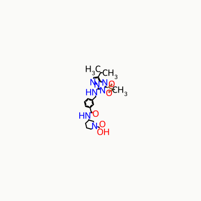 CC(C)c1cnn2c(NCc3cccc(C(=O)NC4CCCN(C(=O)O)C4)c3)nc(S(C)(=O)=O)nc12